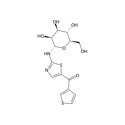 O=C(c1ccsc1)c1cnc(N[C@H]2O[C@H](CO)[C@@H](O)[C@H](O)[C@@H]2O)s1